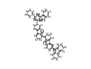 c1ccc(C2=NC(c3ccc4c(c3)oc3c(-c5cccc6c5oc5ccc(-n7c8ccccc8c8ccccc87)cc56)cccc34)NC(c3ccccc3)=N2)cc1